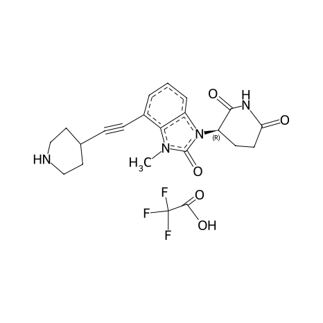 Cn1c(=O)n([C@@H]2CCC(=O)NC2=O)c2cccc(C#CC3CCNCC3)c21.O=C(O)C(F)(F)F